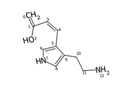 C=C(O)/C=C\c1c[nH]cc1CCN